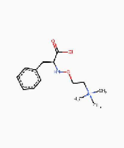 C[N+](C)(C)CCON[C@@H](Cc1ccccc1)C(=O)O